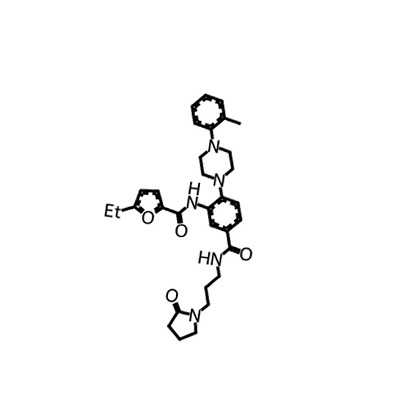 CCc1ccc(C(=O)Nc2cc(C(=O)NCCCN3CCCC3=O)ccc2N2CCN(c3ccccc3C)CC2)o1